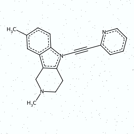 Cc1ccc2c(c1)c1c(n2C#Cc2ccccn2)CCN(C)C1